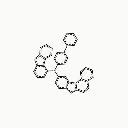 c1ccc(-c2ccc(N(c3ccc4sc5ccc6ncccc6c5c4c3)c3cccc4sc5ccccc5c34)cc2)cc1